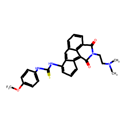 CN(C)CCN1C(=O)c2cccc3cc4c(NC(=S)Nc5ccc(OC(F)(F)F)cc5)cccc4c(c23)C1=O